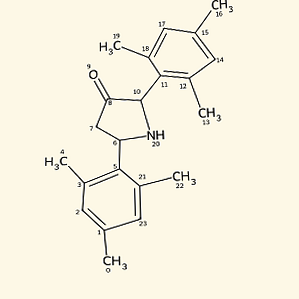 Cc1cc(C)c(C2CC(=O)C(c3c(C)cc(C)cc3C)N2)c(C)c1